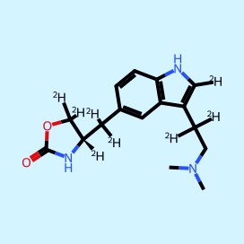 [2H]c1[nH]c2ccc(C([2H])([2H])[C@]3([2H])NC(=O)OC3([2H])[2H])cc2c1C([2H])([2H])CN(C)C